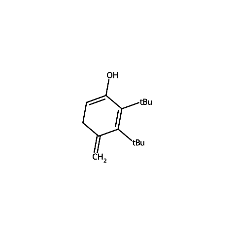 C=C1CC=C(O)C(C(C)(C)C)=C1C(C)(C)C